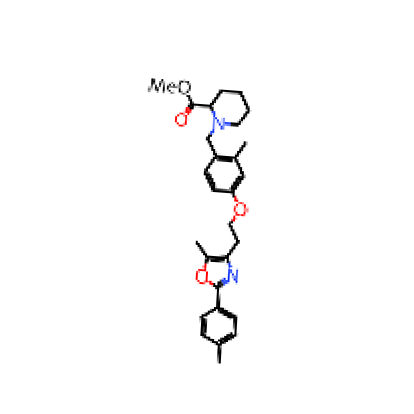 COC(=O)C1CCCCN1Cc1ccc(OCCc2nc(-c3ccc(C)cc3)oc2C)cc1C